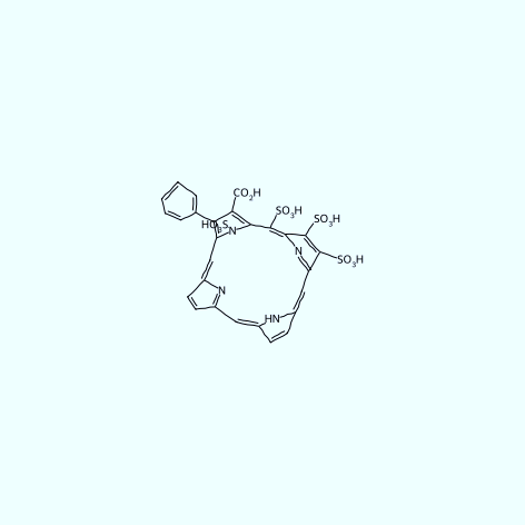 O=C(O)c1c(-c2ccccc2)c2cc3nc(cc4ccc(cc5nc(c(S(=O)(=O)O)c1n2S(=O)(=O)O)C(S(=O)(=O)O)=C5S(=O)(=O)O)[nH]4)C=C3